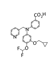 O=C(O)c1cccc(N(Cc2cccnc2)c2ccc(OC(F)F)c(OCC3CC3)c2)c1